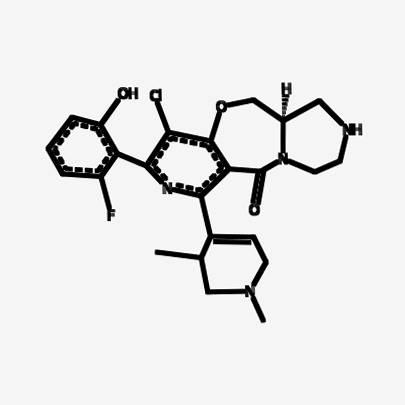 CC1CN(C)CC=C1c1nc(-c2c(O)cccc2F)c(Cl)c2c1C(=O)N1CCNC[C@@H]1CO2